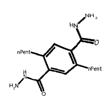 CCCCCc1cc(C(=O)NN)c(CCCCC)cc1C(=O)NN